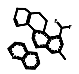 Cc1cc(C(F)F)c2c3c(ccc2c1)C1=C(CCC=C1)CC3.c1ccc2ncccc2c1